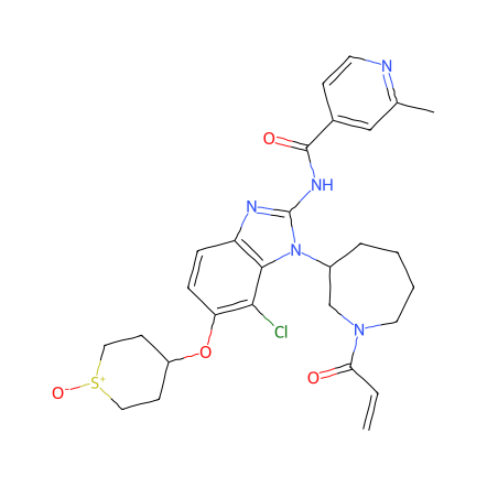 C=CC(=O)N1CCCCC(n2c(NC(=O)c3ccnc(C)c3)nc3ccc(OC4CC[S+]([O-])CC4)c(Cl)c32)C1